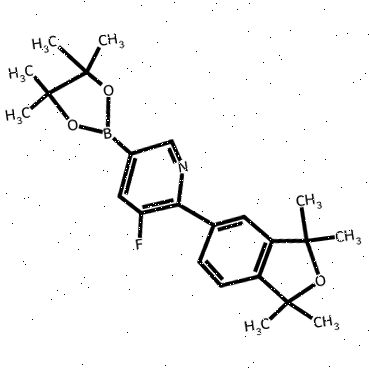 CC1(C)OC(C)(C)c2cc(-c3ncc(B4OC(C)(C)C(C)(C)O4)cc3F)ccc21